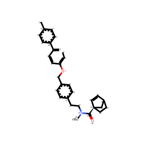 C=C(/C=C\C(=C/C)OCc1ccc(CCN(CCCC)C(=O)[C@]23C=CC(CC2)C3)cc1)c1ccc(C)cc1